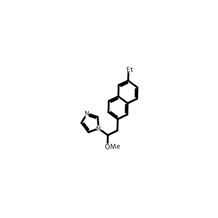 CCc1ccc2cc(CC(OC)n3ccnc3)ccc2c1